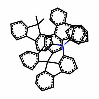 CC1(C)c2ccccc2-c2ccc(N(c3ccccc3)c3cccc4c3C3(c5ccccc5-c5cc6c7ccccc7c7ccccc7c6cc53)c3ccccc3-4)cc21